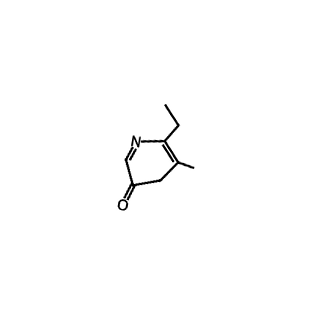 CCC1=C(C)CC(=O)C=N1